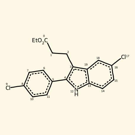 CCOC(=O)CCc1c(-c2ccc(Cl)cc2)[nH]c2ccc(Cl)cc12